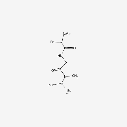 CCCC([C@@H](C)CC)N(C)C(=O)CNC(=O)C(NC)C(C)C